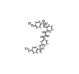 CCOc1ccc(S(=O)(=O)Oc2cccc(NC(=O)Nc3ccccc3OS(=O)(=O)c3ccc(OCC)cc3)c2)cc1